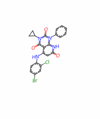 O=c1cc(Nc2ccc(Br)cc2Cl)c2c(=O)n(C3CC3)c(=O)n(-c3ccccc3)c2[nH]1